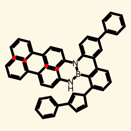 C1=CC(c2cccc3c2B(Nc2ccc(-c4ccccc4)cc2)N(c2ccc(-c4ccccc4)cc2)c2ccc(-c4ccccc4)cc2-3)C=C1c1ccccc1